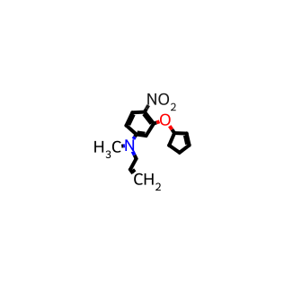 C=CCN(C)c1ccc([N+](=O)[O-])c(OC2C=CCC2)c1